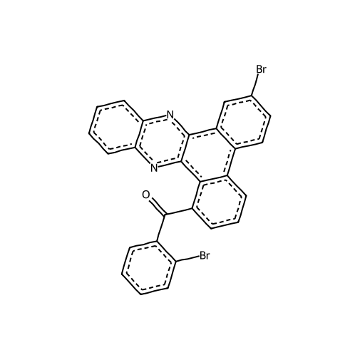 O=C(c1ccccc1Br)c1cccc2c3ccc(Br)cc3c3nc4ccccc4nc3c12